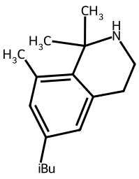 CCC(C)c1cc(C)c2c(c1)CCNC2(C)C